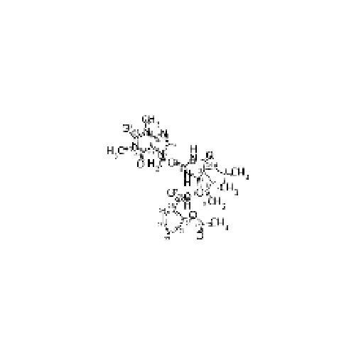 C=CCC1(CC(C)C)C(=O)NC(=O)NC1=O.CC(=O)Oc1ccccc1C(=O)O.Cn1c(=O)c2c(ncn2C)n(C)c1=O